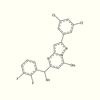 Oc1cc(C(S)c2cccc(F)c2F)nc2cc(-c3cc(Cl)cc(Cl)c3)nn12